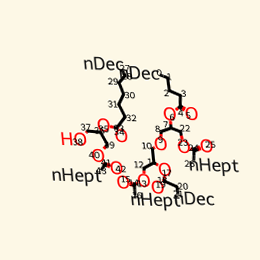 CCCCCCCCCCCCCC(=O)OC(COCC(COC(=O)CCCCCCC)OC(=O)CCCCCCCCCCC)COC(=O)CCCCCCC.CCCCCCCCCCCCCCCC(=O)OC(CO)COC(=O)CCCCCCC